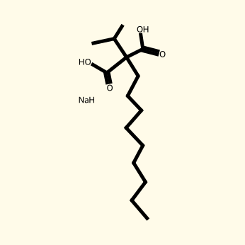 CCCCCCCCCC(C(=O)O)(C(=O)O)C(C)C.[NaH]